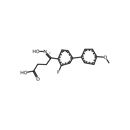 COc1ccc(-c2ccc(/C(CCC(=O)O)=N/O)c(F)c2)cc1